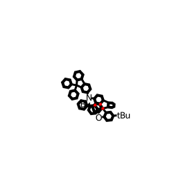 CC(C)(C)c1ccc2c(c1)C1(c3cc(C(C)(C)C)ccc3O2)c2ccccc2-c2ccc(N(c3ccc4c(c3)C(c3ccccc3)(c3ccccc3)c3ccccc3-4)c3ccccc3-c3ccccc3)cc21